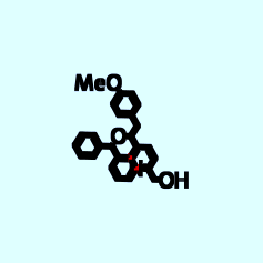 COc1ccc(CC(OC(c2ccccc2)c2ccccc2)c2ccc(CO)nc2)cc1